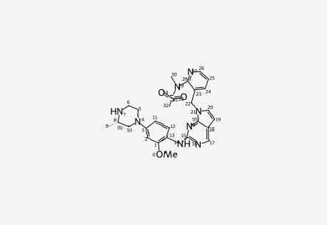 COc1cc(N2CCN[C@@H](C)C2)ccc1Nc1ncc2ccn(Cc3cccnc3N(C)S(C)(=O)=O)c2n1